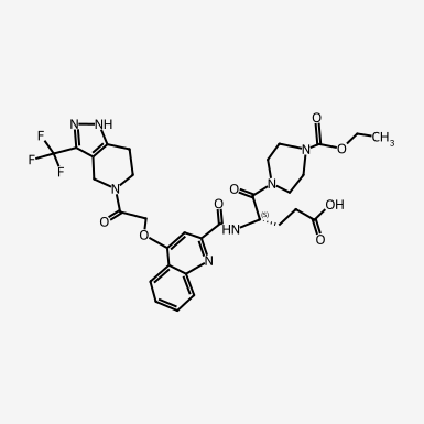 CCOC(=O)N1CCN(C(=O)[C@H](CCC(=O)O)NC(=O)c2cc(OCC(=O)N3CCc4[nH]nc(C(F)(F)F)c4C3)c3ccccc3n2)CC1